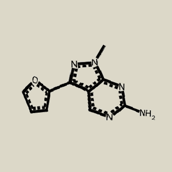 Cn1nc(-c2ccco2)c2cnc(N)nc21